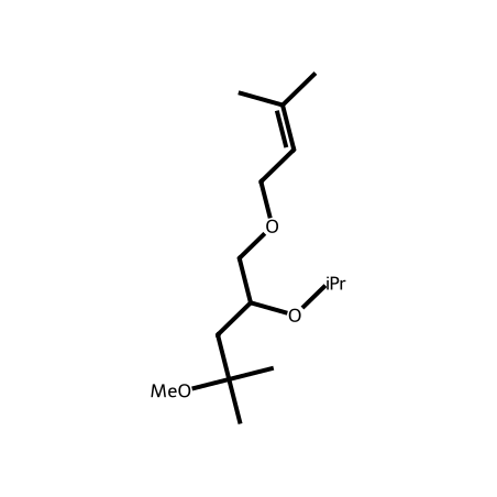 COC(C)(C)CC(COCC=C(C)C)OC(C)C